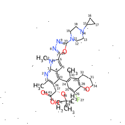 Cc1nc2c(cc(-c3nnc(N4CCN(C5CC5)CC4)o3)n2C)c(-c2cc(F)c3c(c2C)CCCO3)c1[C@H](OC(C)(C)C)C(=O)O